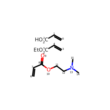 C=CC(=O)O.C=CC(=O)OCC.C=CC(=O)OCCN(C)C